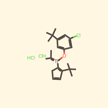 C[C](C)=[Ti]([O]c1cc(Cl)cc(C(C)(C)C)c1)[C]1=C(C(C)(C)C)C=CC1.Cl.Cl